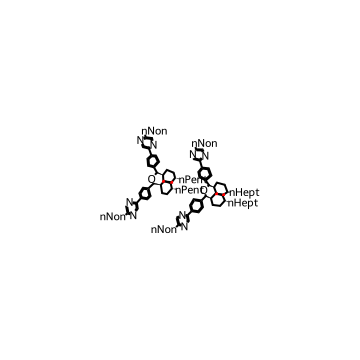 CCCCCCCCCc1cnc(-c2ccc(C(OC(c3ccc(-c4cnc(CCCCCCCCC)cn4)cc3)[C@H]3CC[C@H](CCCCC)CC3)[C@H]3CC[C@H](CCCCC)CC3)cc2)cn1.CCCCCCCCCc1cnc(-c2ccc(C(OC(c3ccc(-c4cnc(CCCCCCCCC)cn4)cc3)[C@H]3CC[C@H](CCCCCCC)CC3)[C@H]3CC[C@H](CCCCCCC)CC3)cc2)cn1